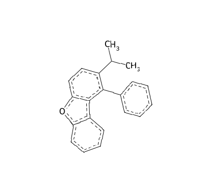 CC(C)c1ccc2oc3ccccc3c2c1-c1ccccc1